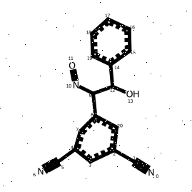 N#Cc1cc(C#N)cc(C(N=O)C(O)c2ccccc2)c1